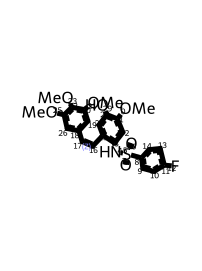 COc1cc(NS(=O)(=O)c2ccc(F)cc2)c(/C=C\c2cc(OC)c(OC)c(OC)c2)cc1O